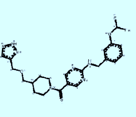 O=C(c1cnc(NCc2cccc(OC(F)F)c2)nc1)N1CCC(COCc2cn[nH]n2)CC1